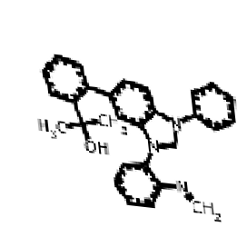 C=Nc1ccccc1N1CN(c2ccccc2)c2ccc(-c3ccccc3C(C)(C)O)cc21